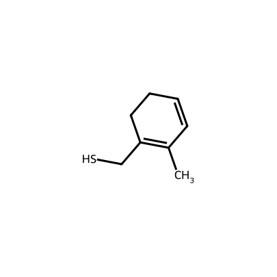 CC1=C(CS)CCC=C1